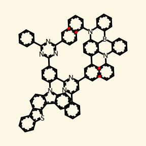 c1ccc(-c2cc(-c3cccc(-c4ccc5c6c4N(c4ccccc4)c4ccccc4B6c4ccccc4N5c4ccccc4)c3)nc(-c3cc(-c4nc(-c5ccccc5)nc(-c5ccccc5)n4)ccc3-n3c4ccccc4c4c5sc6ccccc6c5ccc43)n2)cc1